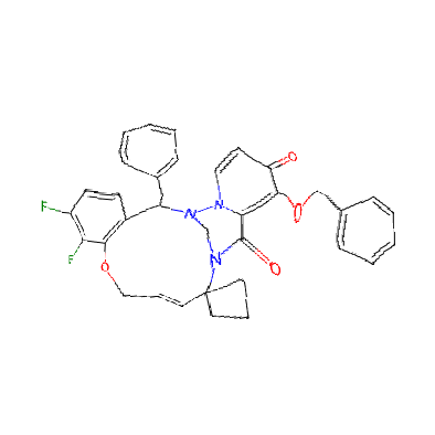 O=C1c2c(OCc3ccccc3)c(=O)ccn2N2CN1C1(/C=C/COc3c(ccc(F)c3F)C2c2ccccc2)CCC1